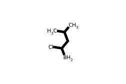 BC(Cl)CC(C)C